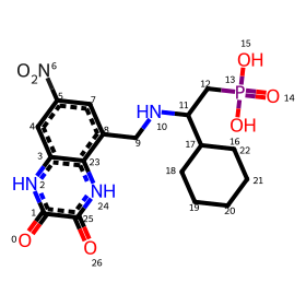 O=c1[nH]c2cc([N+](=O)[O-])cc(CNC(CP(=O)(O)O)C3CCCCC3)c2[nH]c1=O